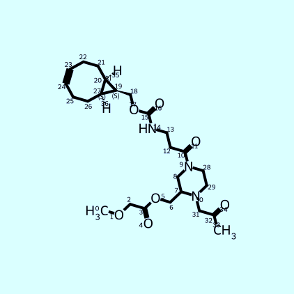 COCC(=O)OCC1CN(C(=O)CCNC(=O)OC[C@@H]2[C@@H]3CCC#CCC[C@@H]32)CCN1CC(C)=O